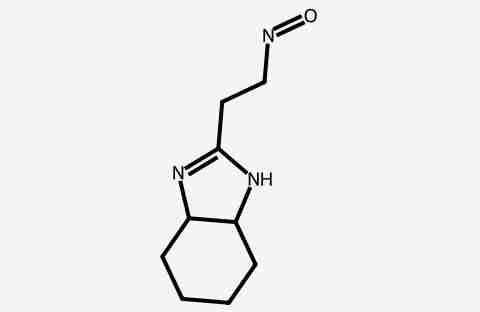 O=NCCC1=NC2CCCCC2N1